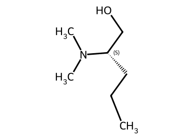 CCC[C@@H](CO)N(C)C